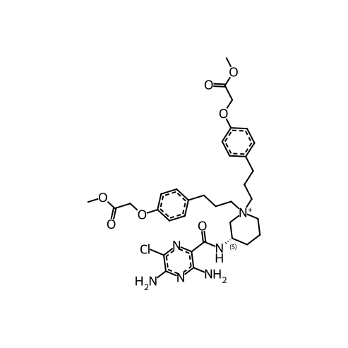 COC(=O)COc1ccc(CCC[N+]2(CCCc3ccc(OCC(=O)OC)cc3)CCC[C@H](NC(=O)c3nc(Cl)c(N)nc3N)C2)cc1